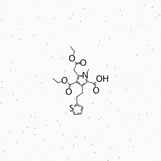 CCOC(=O)Cc1c(C(=O)OCC)c(CCc2cccs2)c(C(=O)O)n1C